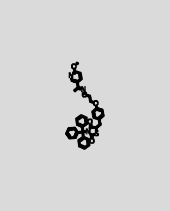 COc1ccc(C(C)=NOCCOc2ccc(CC3SC(=O)N(C(c4ccccc4)(c4ccccc4)c4ccccc4)C3=O)cc2)cn1